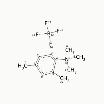 Cc1ccc([N+](C)(C)C)c(C)c1.F[B-](F)(F)F